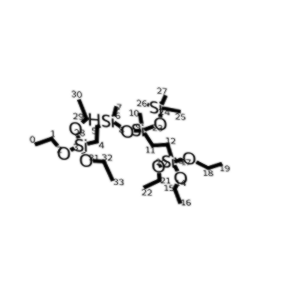 CCO[Si](CC[SiH](C)O[Si](C)(CC[Si](OCC)(OCC)OCC)O[Si](C)(C)C)(OCC)OCC